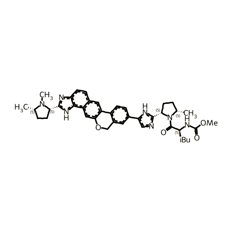 CCC(C)[C@H](NC(=O)OC)C(=O)N1[C@@H](C)CC[C@H]1c1ncc(-c2ccc3c(c2)COc2cc4c(ccc5nc([C@@H]6CC[C@H](C)N6C)[nH]c54)cc2-3)[nH]1